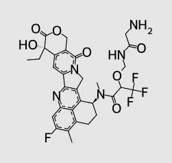 CC[C@@]1(O)C(=O)OCc2c1cc1n(c2=O)Cc2c-1nc1cc(F)c(C)c3c1c2[C@@H](N(C)C(=O)C(OCNC(=O)CN)C(F)(F)F)CC3